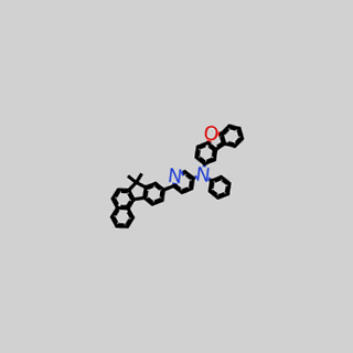 CC1(C)c2cc(-c3ccc(N(c4ccccc4)c4ccc5oc6ccccc6c5c4)cn3)ccc2-c2c1ccc1ccccc21